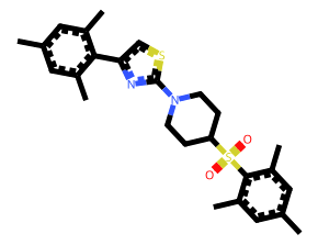 Cc1cc(C)c(-c2csc(N3CCC(S(=O)(=O)c4c(C)cc(C)cc4C)CC3)n2)c(C)c1